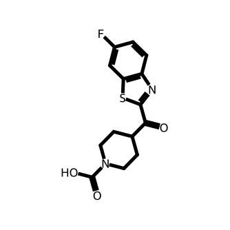 O=C(c1nc2ccc(F)cc2s1)C1CCN(C(=O)O)CC1